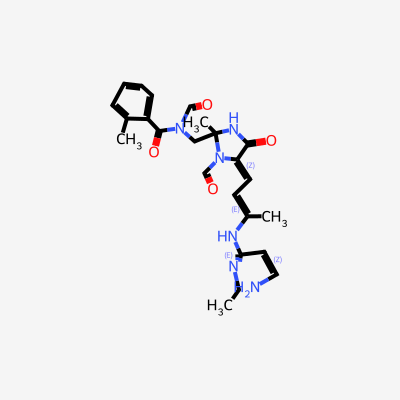 CC/N=C(\C=C/N)N/C(C)=C/C=C1/C(=O)NC(C)(CN(C=O)C(=O)c2ccccc2C)N1C=O